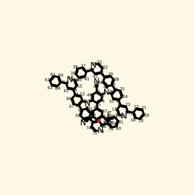 N#Cc1cc(-c2cc(-n3c4cc(-c5ccnc(-c6ccccc6)c5)ccc4c4ccc(-c5ccnc(-c6ccccc6)c5)cc43)c(C#N)cc2-n2c3cc(-c4ccnc(-c5ccccc5)c4)ccc3c3ccc(-c4ccnc(-c5ccccc5)c4)cc32)cc(C(F)(F)F)c1